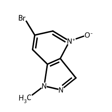 Cn1ncc2c1cc(Br)c[n+]2[O-]